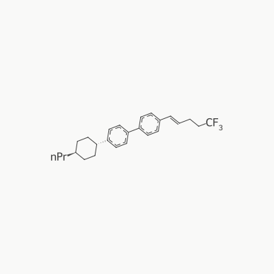 CCC[C@H]1CC[C@H](c2ccc(-c3ccc(C=CCCC(F)(F)F)cc3)cc2)CC1